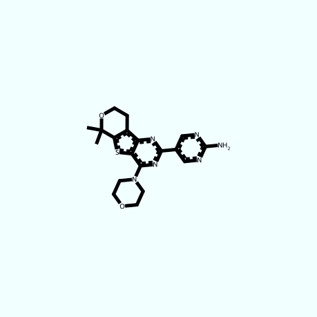 CC1(C)OCCc2c1sc1c(N3CCOCC3)nc(-c3cnc(N)nc3)nc21